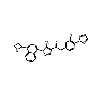 O=C(Nc1cnc(-n2nccn2)c(Cl)c1)c1cnn(-c2cnc(C3CCN3)c3ccccc23)c1C(F)(F)F